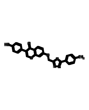 Cc1ccc(-c2nnc(COc3ccc4c(=O)c(-c5ccc(O)cc5)coc4c3)o2)cc1